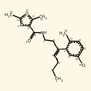 CCC/C=C(/CCNC(=O)c1nc(C)oc1C)c1cc(Cl)ccc1C